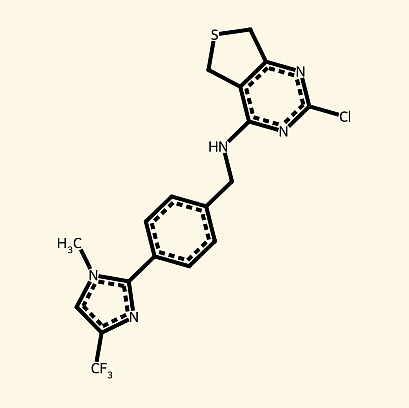 Cn1cc(C(F)(F)F)nc1-c1ccc(CNc2nc(Cl)nc3c2CSC3)cc1